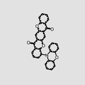 O=c1c2ccccc2oc2cc3c(=O)c4cccc(N5c6ccccc6Oc6ccccc65)c4oc3cc12